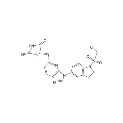 O=C1NC(=O)/C(=C/c2ccc3ncn(-c4ccc5c(c4)CCN5S(=O)(=O)CCl)c3n2)S1